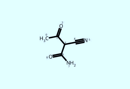 CC(=O)C(C#N)C(N)=O